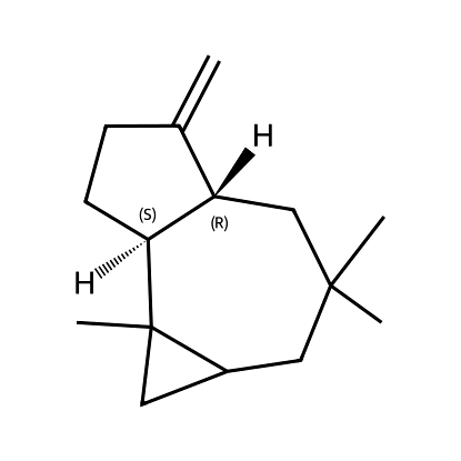 C=C1CC[C@H]2[C@H]1CC(C)(C)CC1CC12C